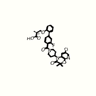 C[C@@H](COc1ccccc1-c1ccc(C(=O)N2CCC(N3C(=O)C(C)(C)Oc4ncc(Cl)cc43)CC2)c(F)c1)C(=O)O